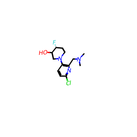 CN(C)Cc1nc(Cl)ccc1N1CC[C@@H](F)C(O)C1